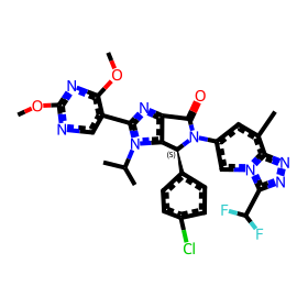 COc1ncc(-c2nc3c(n2C(C)C)[C@H](c2ccc(Cl)cc2)N(c2cc(C)c4nnc(C(F)F)n4c2)C3=O)c(OC)n1